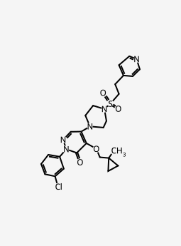 CC1(COc2c(N3CCN(S(=O)(=O)CCc4ccncc4)CC3)cnn(-c3cccc(Cl)c3)c2=O)CC1